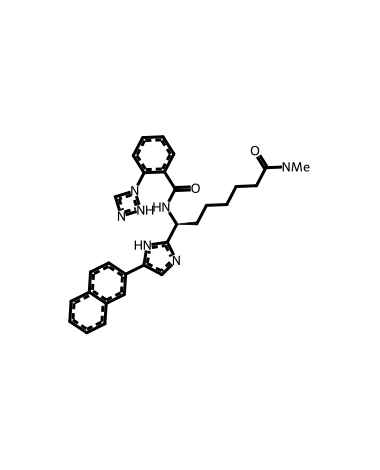 CNC(=O)CCCCC[C@H](NC(=O)c1ccccc1-n1cn[nH]1)c1ncc(-c2ccc3ccccc3c2)[nH]1